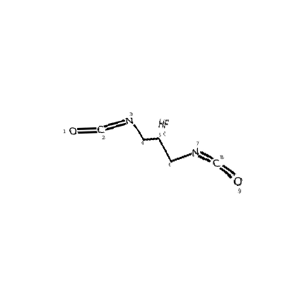 F.O=C=NCCCN=C=O